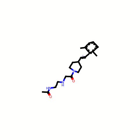 CC(=O)NCCNCC(=O)N1CCC(/C=C/c2c(C)cccc2C)CC1